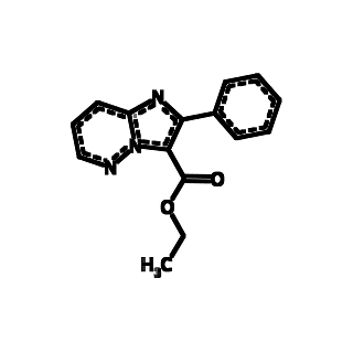 CCOC(=O)c1c(-c2ccccc2)nc2cccnn12